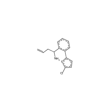 C=CCC(N)c1ccccc1-c1ccc(Cl)s1